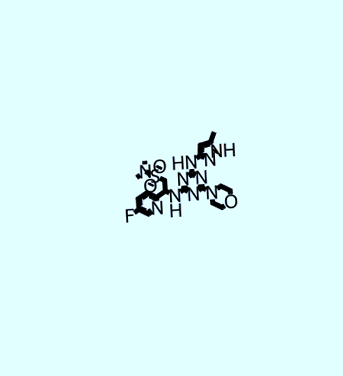 Cc1cc(Nc2nc(NC(CS(=O)(=O)N(C)C)c3ccc(F)cn3)nc(N3CCOCC3)n2)n[nH]1